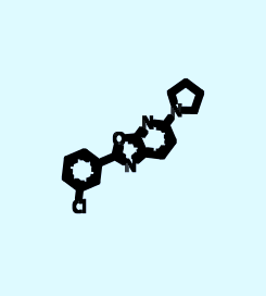 Clc1cccc(-c2nc3ccc(N4CCCC4)nc3o2)c1